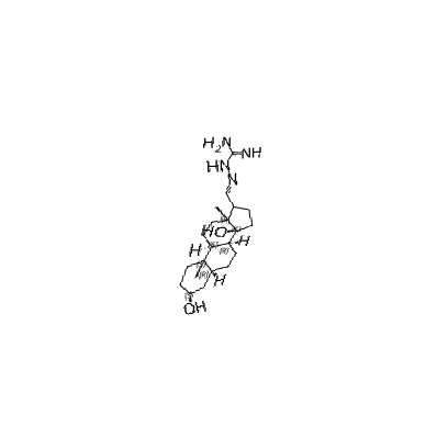 C[C@]12CC[C@H](O)C[C@H]1CC[C@@H]1[C@@H]2CC[C@]2(C)C(C=NNC(=N)N)CC[C@]12O